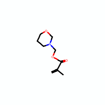 C=C(C)C(=O)OCN1CCCOC1